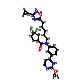 COc1nccc(-c2cccc(N(CCCCCc3nc(C4CC4)no3)C(=O)C3CCC(F)(F)C3)c2)n1